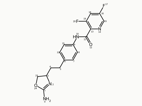 NC1=NC(CCc2ccc(NC(=O)c3ncc(F)cc3F)cc2)CO1